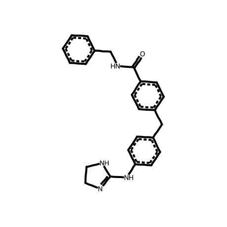 O=C(NCc1ccccc1)c1ccc(Cc2ccc(NC3=NCCN3)cc2)cc1